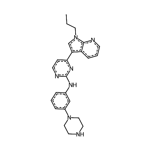 CCCn1cc(-c2ccnc(Nc3cccc(N4CCNCC4)c3)n2)c2cccnc21